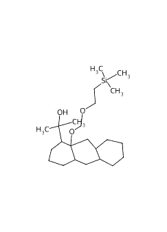 CC(C)(O)C1CCCC2CC3CCCCC3CC21OCOCC[Si](C)(C)C